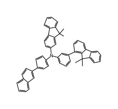 CC1(C)c2ccccc2-c2ccc(N(c3ccc(-c4ccc5ccccc5c4)cc3)c3cccc(-c4cccc5c4C(C)(C)c4ccccc4-5)c3)cc21